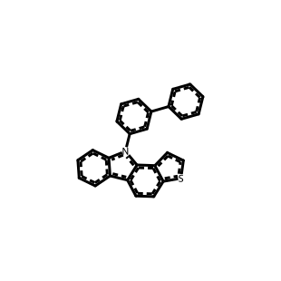 c1ccc(-c2cccc(-n3c4ccccc4c4ccc5sccc5c43)c2)cc1